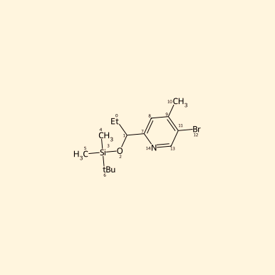 CCC(O[Si](C)(C)C(C)(C)C)c1cc(C)c(Br)cn1